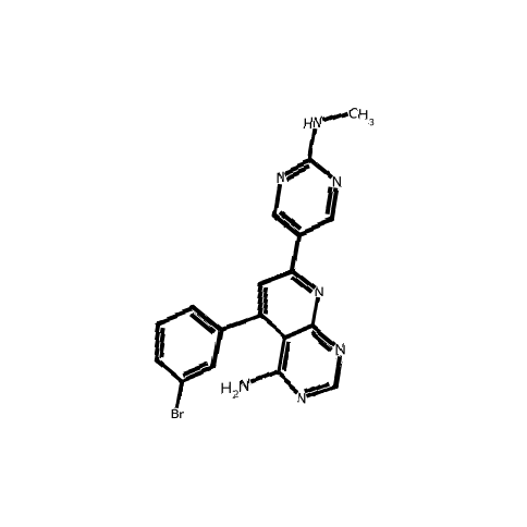 CNc1ncc(-c2cc(-c3cccc(Br)c3)c3c(N)ncnc3n2)cn1